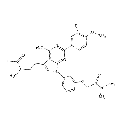 COc1ccc(-c2nc(C)c3c(SCC(C)C(=O)O)cn(-c4cccc(OCC(=O)N(C)C)c4)c3n2)cc1F